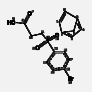 C1=CC2=CC=C1C2.O=C(O)CCS(=O)(=O)c1ccc(Br)cc1